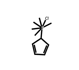 [CH3][Ir]([CH3])([CH3])([CH3])([CH3])([Cl])[CH]1C=CC=C1